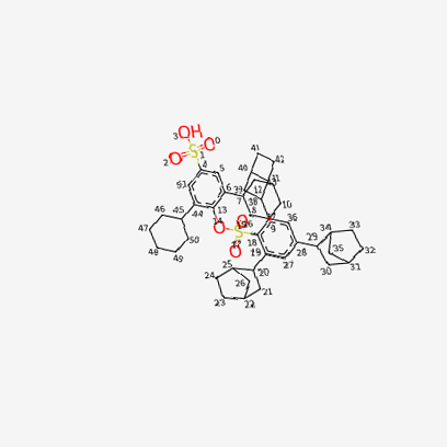 O=S(=O)(O)c1cc(C2CCCCC2)c(OS(=O)(=O)c2c(C3CC4CCC3C4)cc(C3CC4CCC3C4)cc2C2CC3CCC32)c(C2CCCCC2)c1